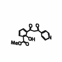 COC(=O)c1cccc(C(=O)CC(=O)c2ccncc2)c1O